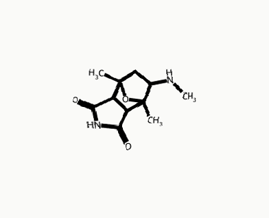 CNC1CC2(C)OC1(C)C1C(=O)NC(=O)C12